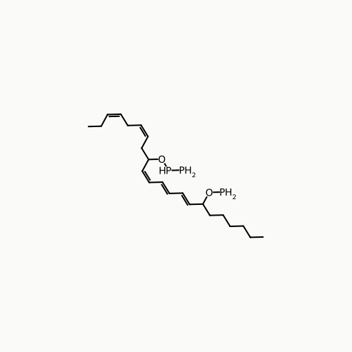 CC/C=C\C/C=C\CC(\C=C/C=C/C=C/C(CCCCCC)OP)OPP